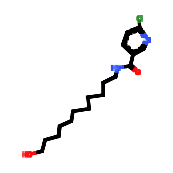 O=C(NCCCCCCCCCCCO)c1ccc(Cl)nc1